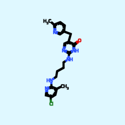 Cc1ccc(Cc2cnc(NCCCCNc3ncc(Cl)cc3C)[nH]c2=O)cn1